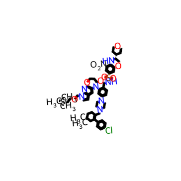 CC1(C)CCC(CN2CCN(c3ccc(C(=O)NS(=O)(=O)c4cc5c(c([N+](=O)[O-])c4)N[C@H](C4CCOCC4)CO5)c(N4CCCOc5nc6c(ccn6COCC[Si](C)(C)C)cc54)c3)CC2)=C(c2ccc(Cl)cc2)C1